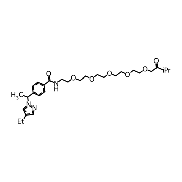 CCc1cnn(C(C)c2ccc(C(=O)NCCOCCOCCOCCOCCOCC(=O)C(C)C)cc2)c1